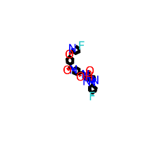 O=c1c2cnn(-c3ccc(F)cc3)c2ncn1CC1(O)CCN(C(=O)[C@H]2CC[C@H](Oc3ccc(F)cn3)CC2)CC1